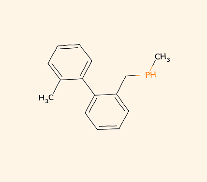 CPCc1ccccc1-c1ccccc1C